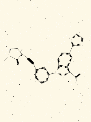 CN1CC[C@@](O)(C#Cc2cccc(-n3nc(C(N)=O)c4cc(-c5ncc[nH]5)ccc43)c2)C1=O